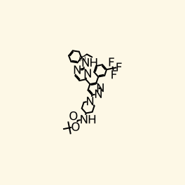 CC[C@@]1(Nc2nccc(-c3cc(N4CCC(NC(=O)OC(C)(C)C)CC4)nnc3-c3cccc(C(F)(F)F)c3)n2)C=CC=CC1